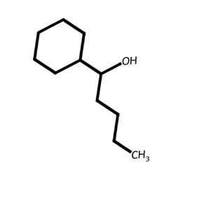 CCCCC(O)C1CCCCC1